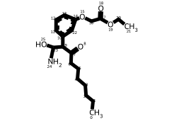 CCCCCCCC(=O)C(c1cccc(OCC(=O)OCC)c1)C(N)O